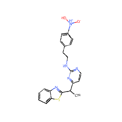 N#CC(c1ccnc(NCCc2ccc([NH+]([O-])O)cc2)n1)c1nc2ccccc2s1